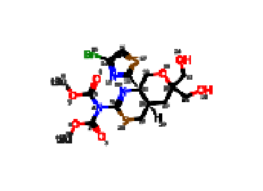 CC(C)(C)OC(=O)N(C(=O)OC(C)(C)C)C1=N[C@@]2(c3nc(Br)cs3)COC(CO)(CO)C[C@H]2CS1